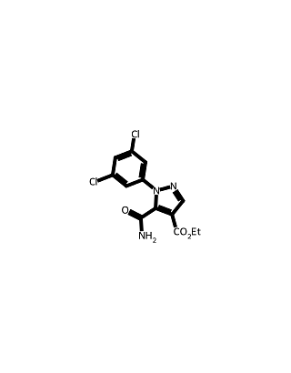 CCOC(=O)c1cnn(-c2cc(Cl)cc(Cl)c2)c1C(N)=O